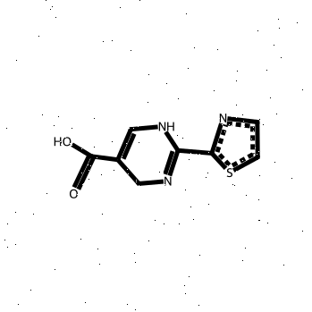 O=C(O)C1=CNC(c2nccs2)=NC1